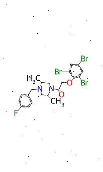 CC1CN(C(=O)COc2c(Br)cc(Br)cc2Br)C(C)CN1Cc1ccc(F)cc1